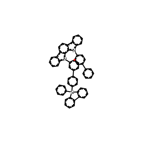 c1ccc(-c2ccc(-n3c4ccccc4c4ccc5c6ccccc6n(-c6cccc(-c7ccc([Si]8(c9ccccc9)c9ccccc9-c9ccccc98)cc7)c6)c5c43)cc2)cc1